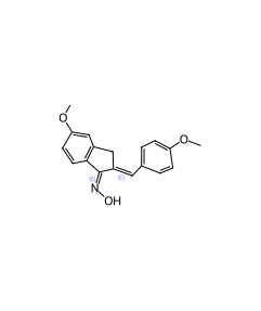 COc1ccc(/C=C2\Cc3cc(OC)ccc3\C2=N\O)cc1